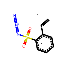 C=Cc1ccccc1S(=O)(=O)N=[N+]=[N-]